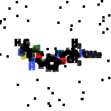 CO/N=C/C(C)(C)Cc1nc2cc(CC(=O)Nc3snc(C)c3Cl)ccc2o1